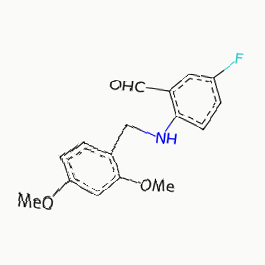 COc1ccc(CNc2ccc(F)cc2C=O)c(OC)c1